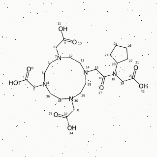 O=C(O)CN1CCN(CC(=O)O)CCN(CC(=O)N(CC(=O)O)C2CCCC2)CCN(CC(=O)O)CC1